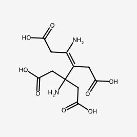 NC(CC(=O)O)=C(CC(=O)O)C(N)(CC(=O)O)CC(=O)O